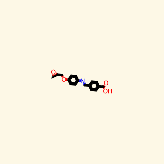 O=C(O)c1ccc(C=Nc2ccc(OCC3CO3)cc2)cc1